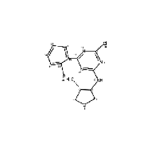 C[C@H]1COCC1Nc1nc(Cl)nc(-c2ccccc2F)n1